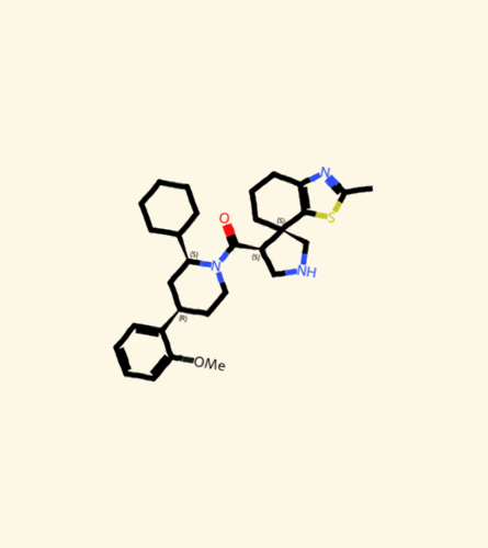 COc1ccccc1[C@@H]1CCN(C(=O)[C@@H]2CNC[C@]23CCCc2nc(C)sc23)[C@H](C2CCCCC2)C1